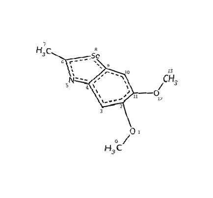 COc1cc2nc(C)[se]c2cc1OC